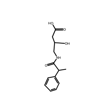 CC(C(=O)NCC(O)CC(=O)O)c1ccccc1